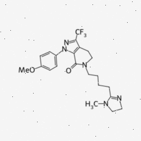 COc1ccc(-n2nc(C(F)(F)F)c3c2C(=O)N(CCCCC2=NCCN2C)CC3)cc1